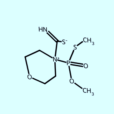 COP(=O)(SC)[N+]1(C(=N)[S-])CCOCC1